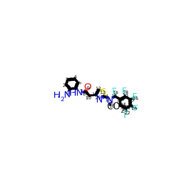 Nc1ccccc1NC(=O)Cc1csc(N(C(=O)O)C(F)c2cc(F)c(F)c(F)c2F)n1